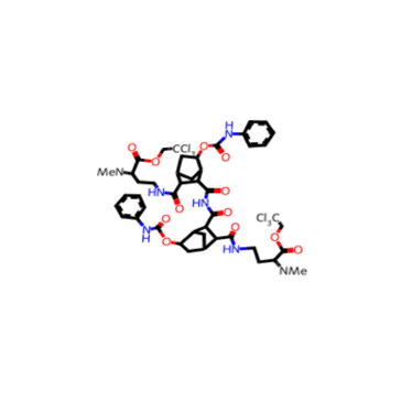 CNC(CCNC(=O)C1C2CC(OC(=O)Nc3ccccc3)C(C2)C1C(=O)NC(=O)C1C2CC(CC2OC(=O)Nc2ccccc2)C1C(=O)NCCC(NC)C(=O)OCC(Cl)(Cl)Cl)C(=O)OCC(Cl)(Cl)Cl